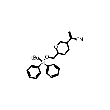 C=C(C#N)C1CCC(CO[Si](c2ccccc2)(c2ccccc2)C(C)(C)C)OC1